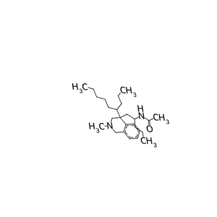 CCCCCC(CCC)C1(CC(CCC)NC(C)=O)CN(C)Cc2ccccc21